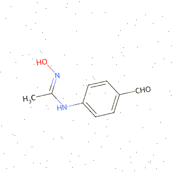 CC(=NO)Nc1ccc(C=O)cc1